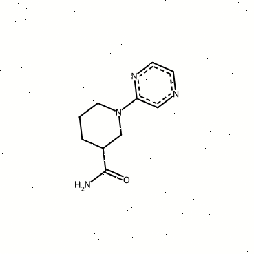 NC(=O)C1CCCN(c2cnccn2)C1